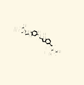 CCN(N=C(N)N)C(=O)c1nc2cc(NC(=O)c3cc4cc(C(=O)NC(C)N=C(N)N)ccc4[nH]3)ccc2[nH]1